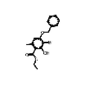 CCOC(=O)c1c(C)cc(OCc2ccccc2)c(Br)c1O